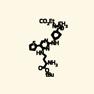 CCOC(=O)N=S(C)(=O)c1ccc(Nc2ncc(-c3cccs3)c(NCC[C@H](N)C(=O)OC(C)(C)C)n2)cc1